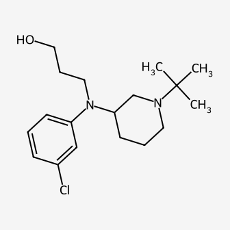 CC(C)(C)N1CCCC(N(CCCO)c2cccc(Cl)c2)C1